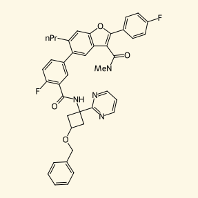 CCCc1cc2oc(-c3ccc(F)cc3)c(C(=O)NC)c2cc1-c1ccc(F)c(C(=O)NC2(c3ncccn3)CC(OCc3ccccc3)C2)c1